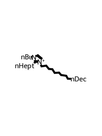 CCCCCCCCCCCCCCCCCCC[n+]1ccn(CCCC)c1CCCCCCC